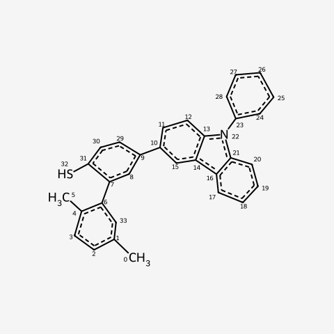 Cc1ccc(C)c(-c2cc(-c3ccc4c(c3)c3ccccc3n4-c3ccccc3)ccc2S)c1